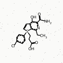 CCc1nc(C(N)=O)c(O)c2c1S(CCC(=O)O)(c1ccc(Cl)cc1)C=C2